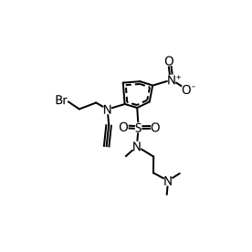 C#CN(CCBr)c1ccc([N+](=O)[O-])cc1S(=O)(=O)N(C)CCN(C)C